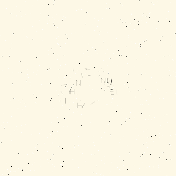 C=C1/C=C/CC[C@@H](CC)S(=O)(=O)NC(=O)c2ccc3c(c2)N(C[C@@H]2CC[C@@H]12)C[C@@]1(CCCc2cc(Cl)ccc21)CO3